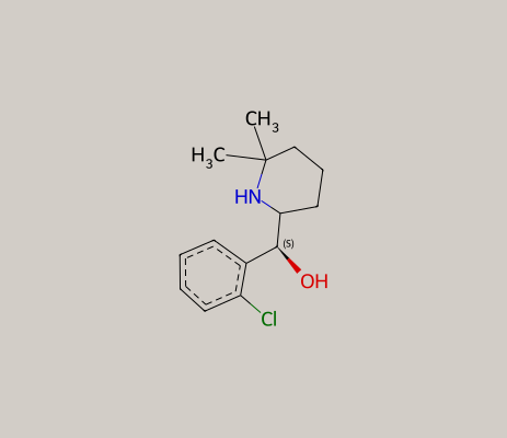 CC1(C)CCCC([C@@H](O)c2ccccc2Cl)N1